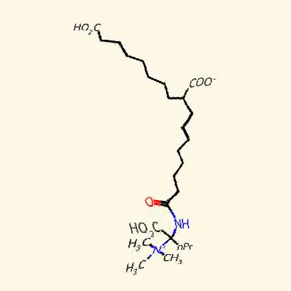 CCCC(NC(=O)CCCCCCCC(CCCCCCCC(=O)O)C(=O)[O-])(C(=O)O)[N+](C)(C)C